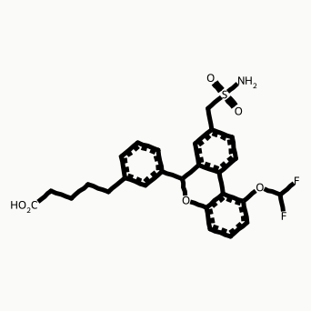 NS(=O)(=O)Cc1ccc2c(c1)C(c1cccc(CCCCC(=O)O)c1)Oc1cccc(OC(F)F)c1-2